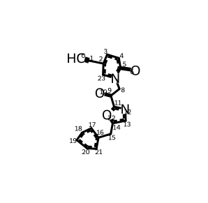 C#Cc1ccc(=O)n(CC(=O)c2ncc(Cc3ccccc3)o2)c1